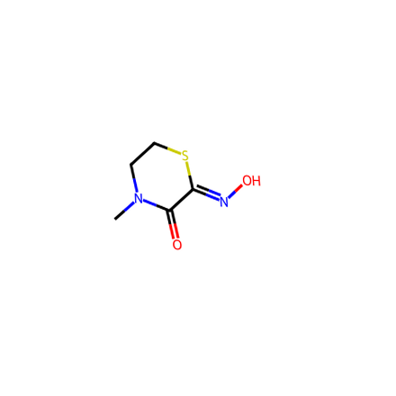 CN1CCSC(=NO)C1=O